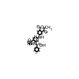 CC1OC(=O)c2ccc(Nc3ncc(-c4nnco4)c(N[C@H](CO)c4ccccc4)n3)cc2C1=O